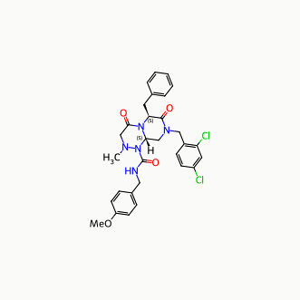 COc1ccc(CNC(=O)N2[C@H]3CN(Cc4ccc(Cl)cc4Cl)C(=O)[C@H](Cc4ccccc4)N3C(=O)CN2C)cc1